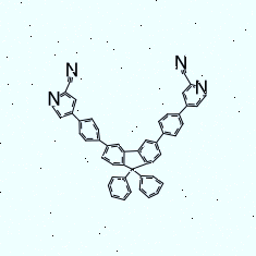 N#Cc1cc(-c2ccc(-c3ccc4c(c3)-c3cc(-c5ccc(-c6ccnc(C#N)c6)cc5)ccc3C4(c3ccccc3)c3ccccc3)cc2)ccn1